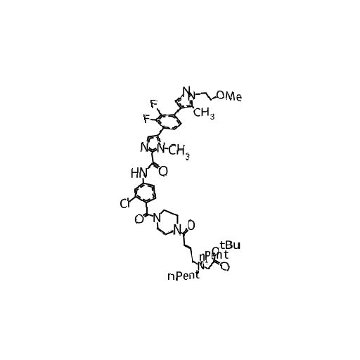 CCCCC[N+](CCCCC)(CCCC(=O)N1CCN(C(=O)c2ccc(NC(=O)c3ncc(-c4ccc(-c5cnn(CCOC)c5C)c(F)c4F)n3C)cc2Cl)CC1)CC(=O)OC(C)(C)C